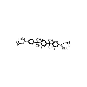 CCCCN(CC1CO1)c1ccc(C(C)(C)c2ccc(C(C)(C)c3ccc(N(CCCC)CC4CO4)cc3)cc2)cc1